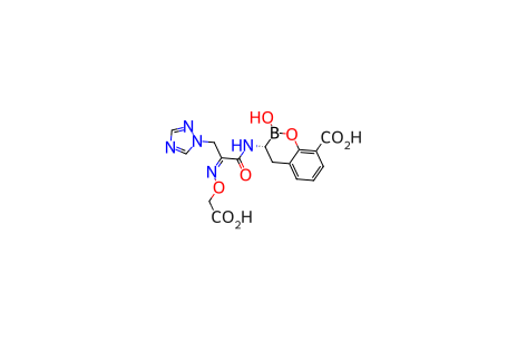 O=C(O)CO/N=C(/Cn1cncn1)C(=O)N[C@H]1Cc2cccc(C(=O)O)c2OB1O